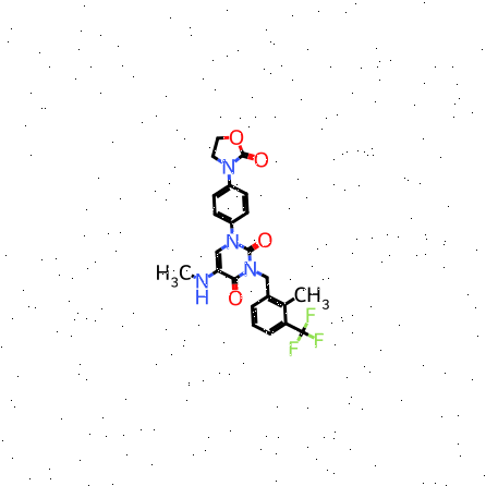 CNc1cn(-c2ccc(N3CCOC3=O)cc2)c(=O)n(Cc2cccc(C(F)(F)F)c2C)c1=O